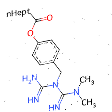 CCCCCCCC(=O)Oc1ccc(CN(C(=N)N)C(=N)N(C)C)cc1